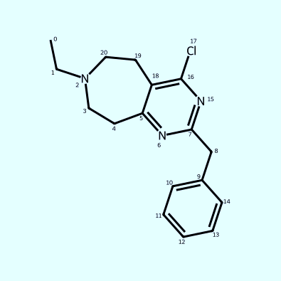 CCN1CCc2nc(Cc3ccccc3)nc(Cl)c2CC1